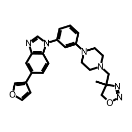 CC1(CN2CCN(c3cccc(-n4cnc5cc(-c6ccoc6)ccc54)c3)CC2)CON=N1